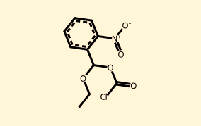 CCOC(OC(=O)Cl)c1ccccc1[N+](=O)[O-]